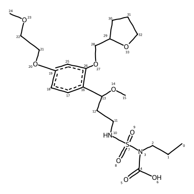 CCCN(C(=O)O)S(=O)(=O)NCCC(OC)c1ccc(OCCOC)cc1OCC1CCCO1